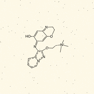 C[N+](C)(C)CCOc1nn2ccccc2c1/N=C1\C=C2OCCN=C2C=C1O